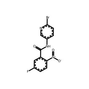 O=C(Nc1ccc(Br)nc1)c1cc(F)ccc1[N+](=O)[O-]